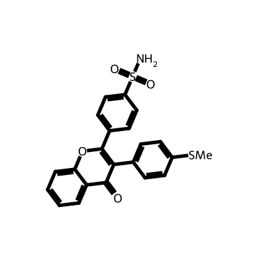 CSc1ccc(-c2c(-c3ccc(S(N)(=O)=O)cc3)oc3ccccc3c2=O)cc1